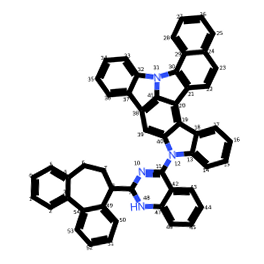 c1ccc2c(c1)CCC(C1N=C(n3c4ccccc4c4c5c6ccc7ccccc7c6n6c7ccccc7c(cc43)c56)c3ccccc3N1)c1ccccc1-2